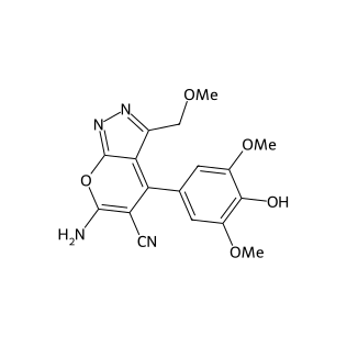 COCc1nnc2oc(N)c(C#N)c(-c3cc(OC)c(O)c(OC)c3)c1-2